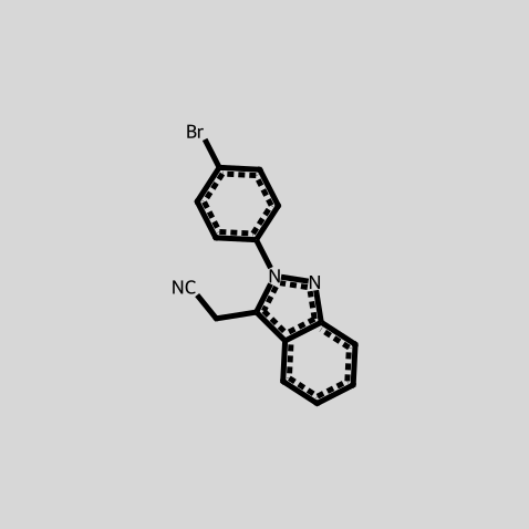 N#CCc1c2ccccc2nn1-c1ccc(Br)cc1